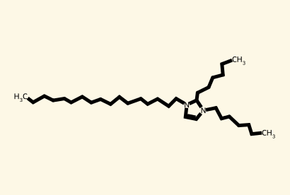 CCCCCCCCCCCCCCCCCN1C=CN(CCCCCCC)C1CCCCCC